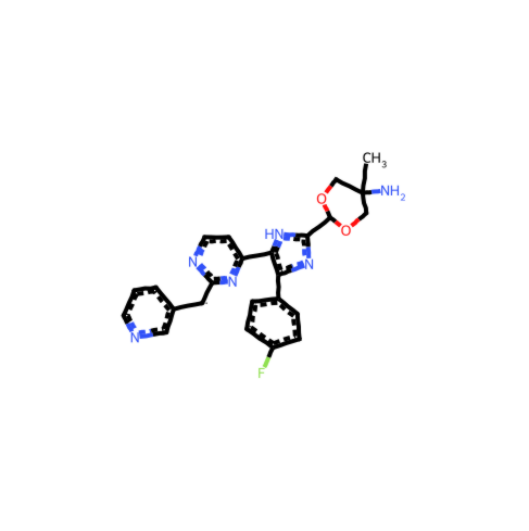 CC1(N)COC(c2nc(-c3ccc(F)cc3)c(-c3ccnc([CH]c4cccnc4)n3)[nH]2)OC1